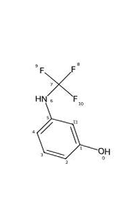 Oc1cccc(NC(F)(F)F)c1